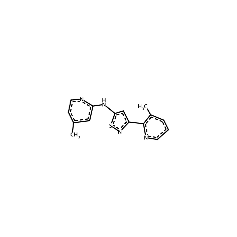 Cc1ccnc(Nc2cc(-c3ncccc3C)ns2)c1